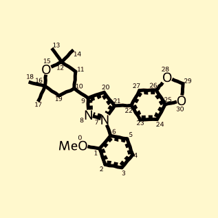 COc1ccccc1-n1nc(C2CC(C)(C)OC(C)(C)C2)cc1-c1ccc2c(c1)OCO2